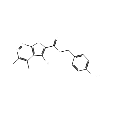 COc1ccc(CNC(=O)c2sc3nnc(C)c(C)c3c2N)cc1